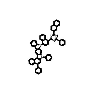 c1ccc(-c2nc(-c3ccc4ccccc4c3)nc(-c3ccc(-n4c5ccccc5c5cc6c7c8ccccc8c(-c8ccccc8)cc7n(-c7ccccc7)c6cc54)c4ccccc34)n2)cc1